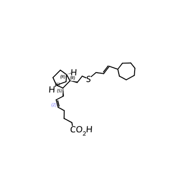 O=C(O)CCC/C=C\C[C@H]1[C@H]2CC[C@H](C2)[C@H]1CCSCC=CC1CCCCCC1